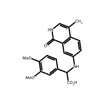 COc1ccc(C(Nc2ccc3c(C)c[nH]c(=O)c3c2)C(=O)O)cc1OC